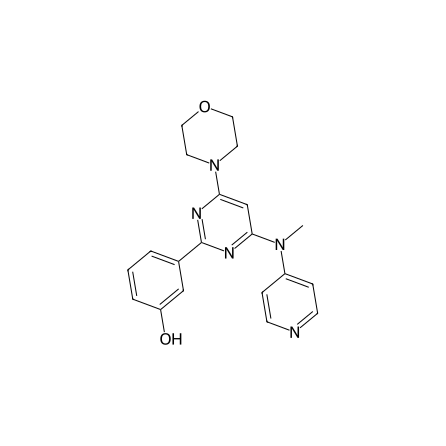 CN(c1ccncc1)c1cc(N2CCOCC2)nc(-c2cccc(O)c2)n1